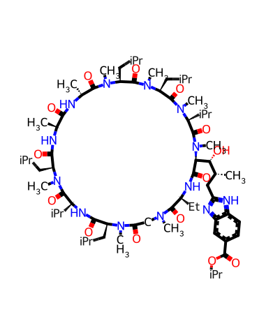 CC[C@@H]1NC(=O)[C@H]([C@H](O)[C@H](C)Cc2nc3cc(C(=O)OC(C)C)ccc3[nH]2)N(C)C(=O)[C@H](C(C)C)N(C)C(=O)[C@H](CC(C)C)N(C)C(=O)[C@H](CC(C)C)N(C)C(=O)[C@@H](C)NC(=O)[C@H](C)NC(=O)[C@H](CC(C)C)N(C)C(=O)[C@H](C(C)C)NC(=O)[C@H](CC(C)C)N(C)C(=O)CN(C)C1=O